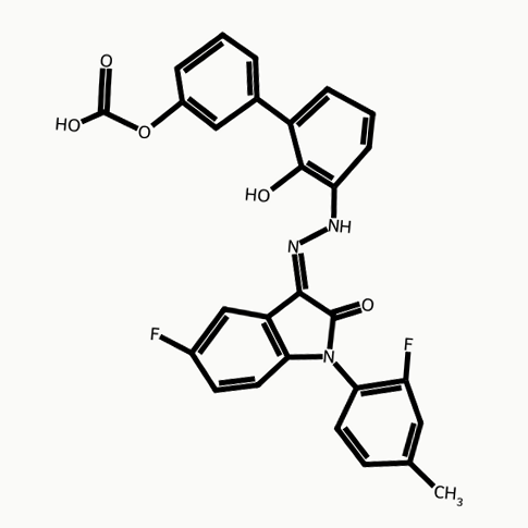 Cc1ccc(N2C(=O)C(=NNc3cccc(-c4cccc(OC(=O)O)c4)c3O)c3cc(F)ccc32)c(F)c1